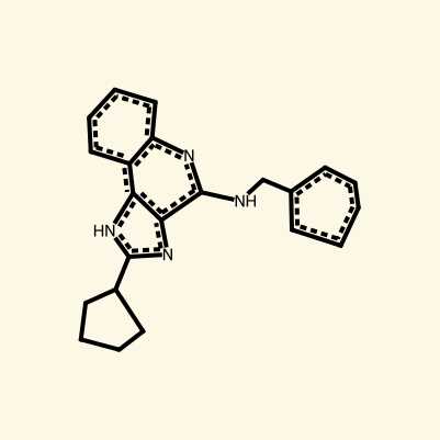 c1ccc(CNc2nc3ccccc3c3[nH]c(C4CCCC4)nc23)cc1